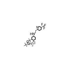 CC(C)(C)[SiH2]OC(C)(C)c1cc(NCCc2ccc(C(F)(F)F)cn2)ccc1Cl